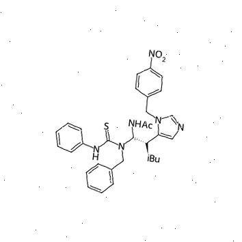 CC[C@H](C)[C@@H](c1cncn1Cc1ccc([N+](=O)[O-])cc1)C(NC(C)=O)N(Cc1ccccc1)C(=S)Nc1ccccc1